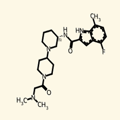 Cc1ccc(F)c2cc(C(=O)N[C@H]3CCCN(C4CCN(C(=O)CN(C)C)CC4)C3)[nH]c12